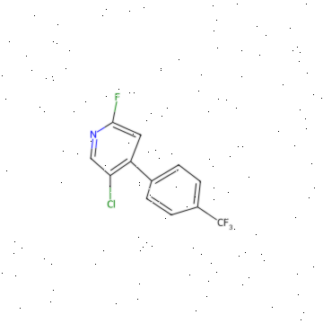 Fc1cc(-c2ccc(C(F)(F)F)cc2)c(Cl)cn1